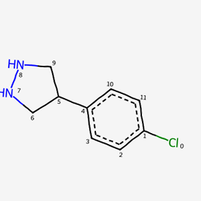 Clc1ccc(C2CNNC2)cc1